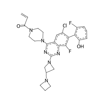 C=CC(=O)N1CCN(c2nc(N3CC(N4CCC4)C3)nc3c(F)c(-c4c(O)cccc4F)c(Cl)cc23)CC1